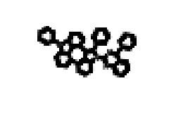 c1ccc(-c2nc(-n3c(-c4ccccc4)c4c5c(cccc53)-c3cccc5c3c3c-4cccc3n5-c3ccccc3)nc3ccccc23)cc1